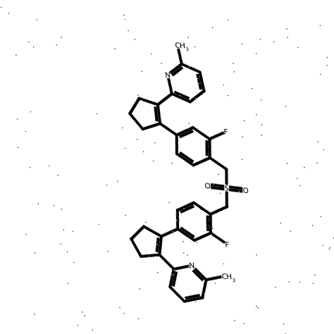 Cc1cccc(C2=C(c3ccc(CS(=O)(=O)Cc4ccc(C5=C(c6cccc(C)n6)CCC5)cc4F)c(F)c3)CCC2)n1